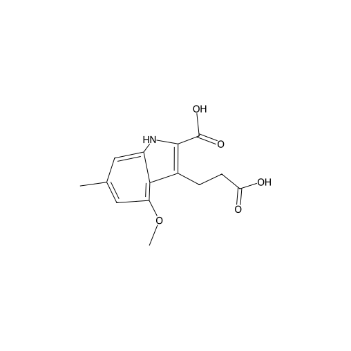 COc1cc(C)cc2[nH]c(C(=O)O)c(CCC(=O)O)c12